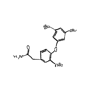 CCCCc1cc(CC(N)=O)ccc1Oc1cc(C(C)(C)C)cc(C(C)(C)C)c1